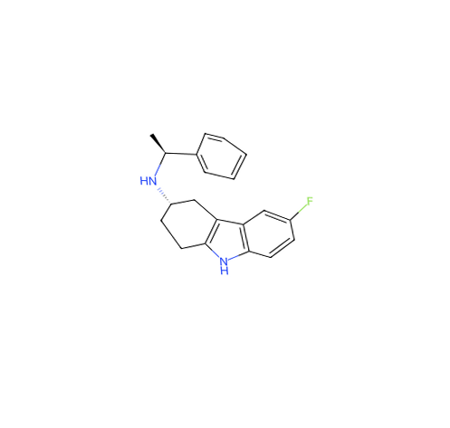 C[C@H](N[C@H]1CCc2[nH]c3ccc(F)cc3c2C1)c1ccccc1